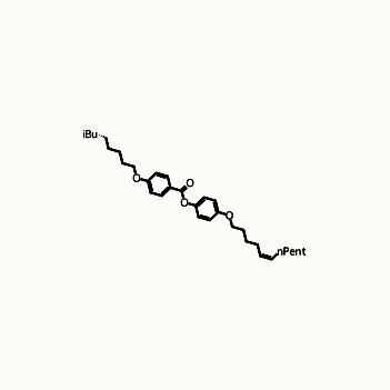 CCCCC/C=C\CCCCOc1ccc(OC(=O)c2ccc(OCCCCC[C@@H](C)CC)cc2)cc1